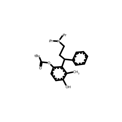 Cc1c(O)ccc(OC(=O)C(C)(C)C)c1C(CCN(C(C)C)C(C)C)c1ccccc1